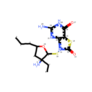 CCCC1CC(N)(CC)C(Sn2c(=O)sc3c(=O)[nH]c(N)nc32)O1